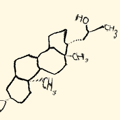 C[C@H](O)C[C@H]1CCC2C3CCC4C[C@@H](O)CC[C@]4(C)C3CC[C@@]21C